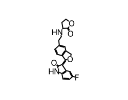 O=C1Nc2ccc(F)cc2/C1=C1\OCc2cc(CCNC3CCOC3=O)ccc21